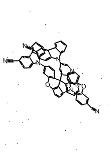 N#Cc1ccc2c(c1)Oc1ccccc1N2c1cccc2c1C1(c3ccc(-n4c5ccccc5c5cc(C#N)ccc54)cc3O2)c2cccnc2-c2ncc(-n3c4ccccc4c4cc(C#N)ccc43)cc21